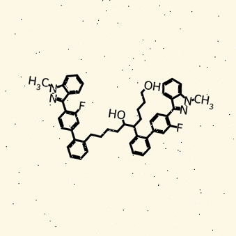 Cn1nc(-c2ccc(-c3ccccc3CCCCC(O)C(CCCCO)c3ccccc3-c3ccc(-c4nn(C)c5ccccc45)c(F)c3)cc2F)c2ccccc21